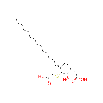 CCCCCCCCCCCCC/C=C1\CC[C@H](CC(=O)O)[C@@H](O)[C@@H]1SCC(=O)O